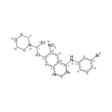 CCC(Oc1cc2ncnc(Nc3cccc(Br)c3)c2cc1[N+](=O)[O-])N1CCOCC1